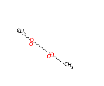 CCCCCCCCOC(=O)CCCCCCCCCC(=O)OCCCCCCCC